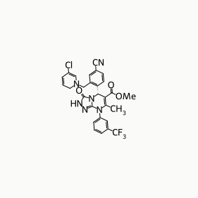 COC(=O)C1=C(C)N(c2cccc(C(F)(F)F)c2)c2n[nH]c(=O)n2[C@@H]1c1ccc(C#N)cc1CN1C=C(Cl)C=CC1